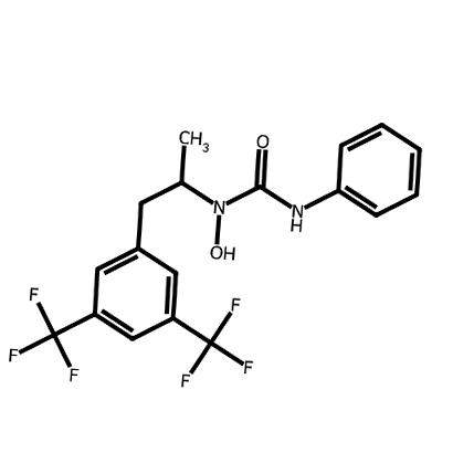 CC(Cc1cc(C(F)(F)F)cc(C(F)(F)F)c1)N(O)C(=O)Nc1ccccc1